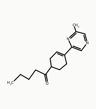 CCCCC(=O)C1CC=C(c2cncc(C)n2)CC1